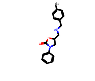 CC(C)(C)c1ccc(CNCC2CN(c3ccccc3)C(=O)O2)cc1